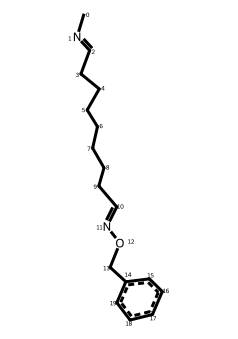 C/N=C/CCCCCCC/C=N/OCc1ccccc1